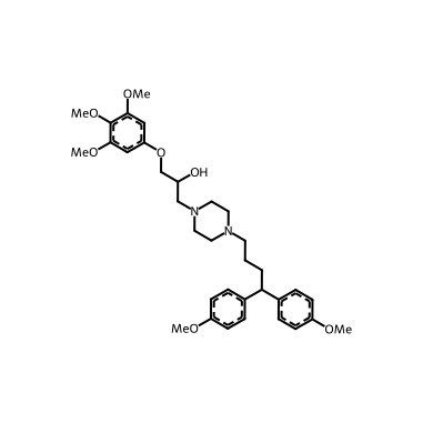 COc1ccc(C(CCCN2CCN(CC(O)COc3cc(OC)c(OC)c(OC)c3)CC2)c2ccc(OC)cc2)cc1